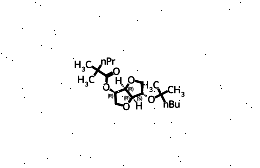 CCCCC(C)(C)O[C@H]1CO[C@H]2[C@@H]1OC[C@H]2OC(=O)C(C)(C)CCC